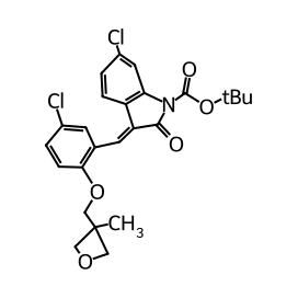 CC1(COc2ccc(Cl)cc2/C=C2/C(=O)N(C(=O)OC(C)(C)C)c3cc(Cl)ccc32)COC1